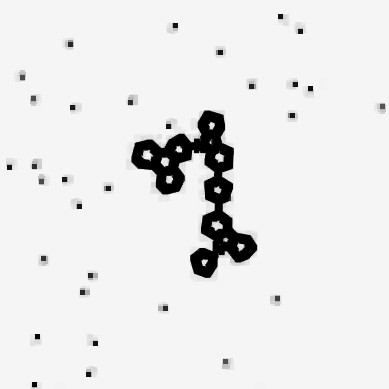 c1ccc(-n2c3ccccc3c3cc(-c4ccc(-c5ccc6c7ccccc7n(-c7ccc8c9ccccc9c9ccccc9c8c7)c6c5)cc4)ccc32)cc1